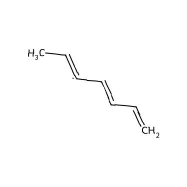 C=CC=C/[C]=C/C